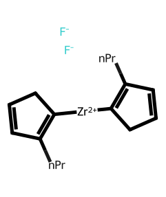 CCCC1=[C]([Zr+2][C]2=C(CCC)C=CC2)CC=C1.[F-].[F-]